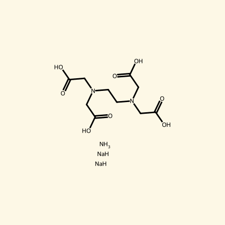 N.O=C(O)CN(CCN(CC(=O)O)CC(=O)O)CC(=O)O.[NaH].[NaH]